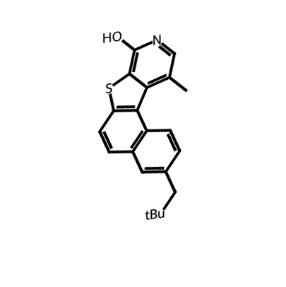 Cc1cnc(O)c2sc3ccc4cc(CC(C)(C)C)ccc4c3c12